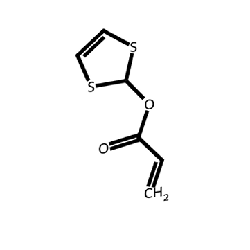 C=CC(=O)OC1SC=CS1